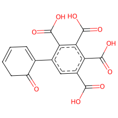 O=C1CC=CC=C1c1cc(C(=O)O)c(C(=O)O)c(C(=O)O)c1C(=O)O